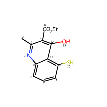 CCOC(=O)c1c(C)nc2cccc(S)c2c1O